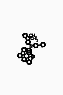 CC1(C)c2ccccc2-c2ccc(N(c3ccc(-c4ccccc4)cc3)c3cccc(-c4cccc5c4C4(c6ccccc6-5)c5ccccc5C5(c6ccccc6-c6ccccc65)c5ccccc54)c3)cc21